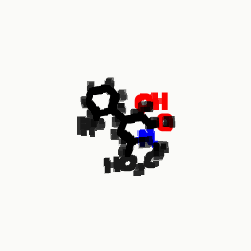 Cc1cc(-c2ccccc2C(C)C)c(O)c(=O)n1CC(=O)O